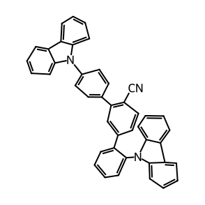 N#Cc1ccc(-c2ccccc2-n2c3ccccc3c3ccccc32)cc1-c1ccc(-n2c3ccccc3c3ccccc32)cc1